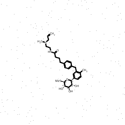 C=CCN(C)CCNC(=O)CCCc1ccc(Cc2cc([C@@H]3O[C@H](SC)[C@@H](O)[C@H](O)[C@H]3O)ccc2C)cc1